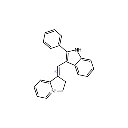 C(=C1/CC[n+]2ccccc21)/c1c(-c2ccccc2)[nH]c2ccccc12